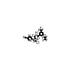 CC(NC(=O)c1cc(OC(F)(F)C(F)F)cc(C(F)(F)F)c1)c1nc(Cl)nn1-c1ccc(C#N)cn1